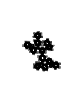 C1=CC2c3c(ccc4c3oc3ccccc34)C3=C(C=CC(c4cc(-c5cccc6ccccc56)cc(N(c5ccc(-c6ccccc6)cc5)c5cccc6c5oc5ccccc56)c4)C3)N3c4ccccc4C(=C1)C23